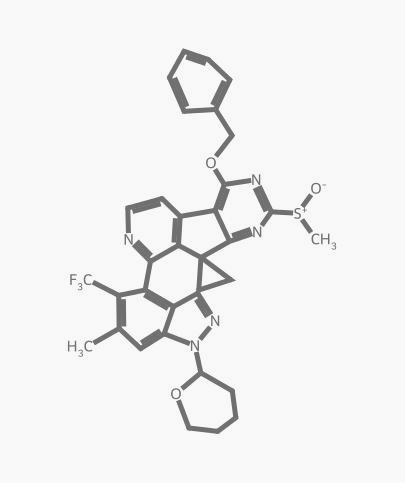 Cc1cc2c(cnn2C2CCCCO2)c(-c2nccc3c2C2(CC2)c2nc([S+](C)[O-])nc(OCc4ccccc4)c2-3)c1C(F)(F)F